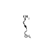 C=CCC#CCCC